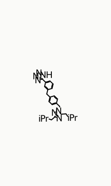 CC(C)Cc1nc(CC(C)C)n(Cc2ccc(Cc3cccc(-c4nnn[nH]4)c3)cc2)n1